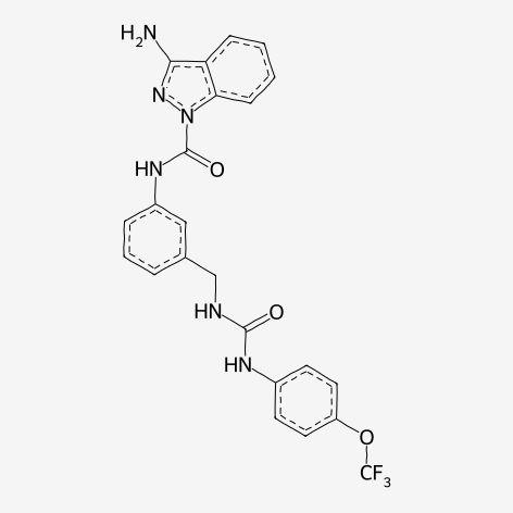 Nc1nn(C(=O)Nc2cccc(CNC(=O)Nc3ccc(OC(F)(F)F)cc3)c2)c2ccccc12